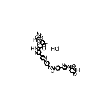 CCN(C)S(=O)(=O)Nc1ccc(F)c(C(=O)c2c[nH]c3ncc(-c4ccc(N5CCC(N(C)CC(=O)N6CCC(c7ccc(NC8CCC(=O)NC8=O)cn7)CC6)CC5)nc4)cc23)c1F.Cl